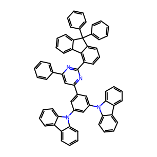 c1ccc(-c2cc(-c3cc(-n4c5ccccc5c5ccccc54)cc(-n4c5ccccc5c5ccccc54)c3)nc(-c3cccc4c3-c3ccccc3C4(c3ccccc3)c3ccccc3)n2)cc1